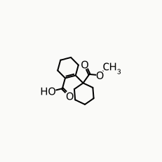 COC(=O)C1(C2=C(C(=O)O)CCCC2)CCCCC1